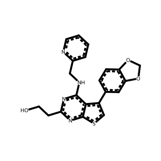 OCCc1nc(NCc2ccccn2)c2c(-c3ccc4c(c3)OCO4)csc2n1